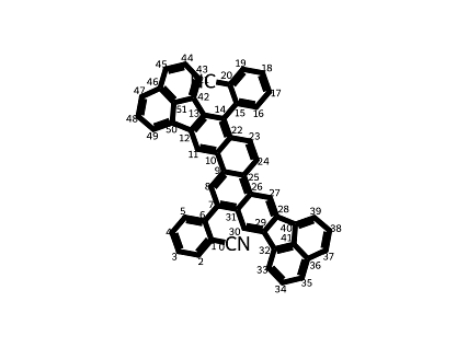 N#Cc1ccccc1-c1cc2c3cc4c(c(-c5ccccc5C#N)c3ccc2c2cc3c(cc12)-c1cccc2cccc-3c12)-c1cccc2cccc-4c12